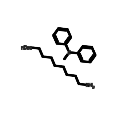 CB(c1ccccc1)c1ccccc1.CCCCCCCCCCCCCCCCCCN